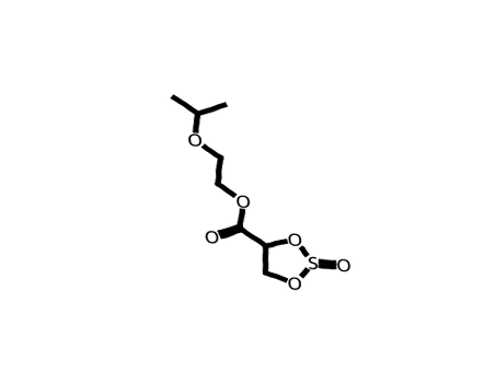 CC(C)OCCOC(=O)C1COS(=O)O1